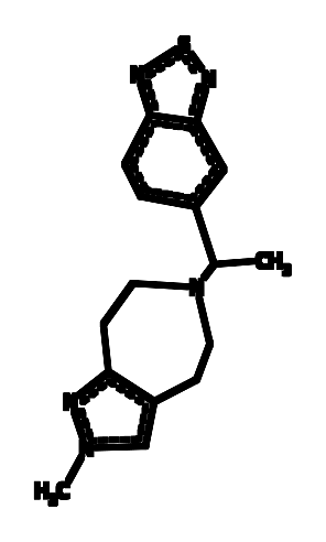 CC(c1ccc2nsnc2c1)N1CCc2cn(C)nc2CC1